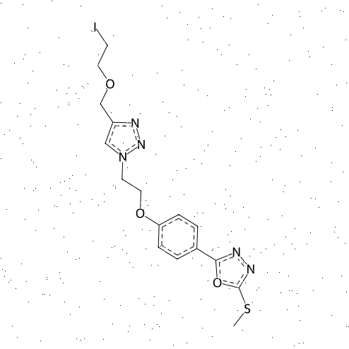 CSc1nnc(-c2ccc(OCCn3cc(COCCI)nn3)cc2)o1